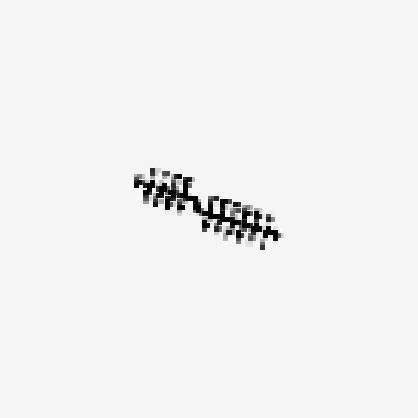 FC(F)(F)C(F)(F)C(F)(F)C(F)(F)/C=C/C(F)(F)C(F)(F)C(F)(F)C(F)(F)C(F)(F)C(F)(F)I